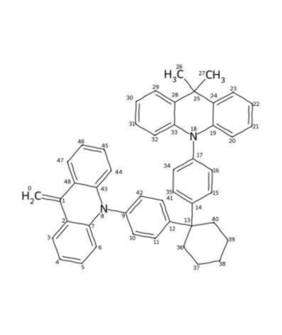 C=C1c2ccccc2N(c2ccc(C3(c4ccc(N5c6ccccc6C(C)(C)c6ccccc65)cc4)CCCCC3)cc2)c2ccccc21